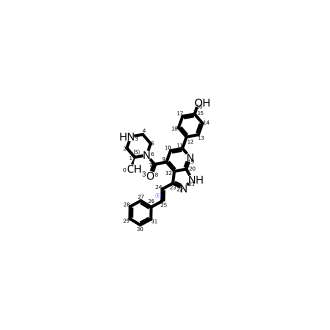 C[C@H]1CNCCN1C(=O)c1cc(-c2ccc(O)cc2)nc2[nH]nc(/C=C/c3ccccc3)c12